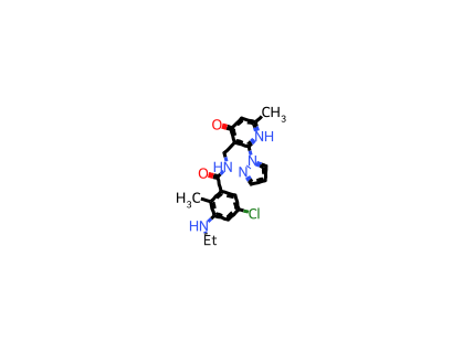 CCNc1cc(Cl)cc(C(=O)NCc2c(-n3cccn3)[nH]c(C)cc2=O)c1C